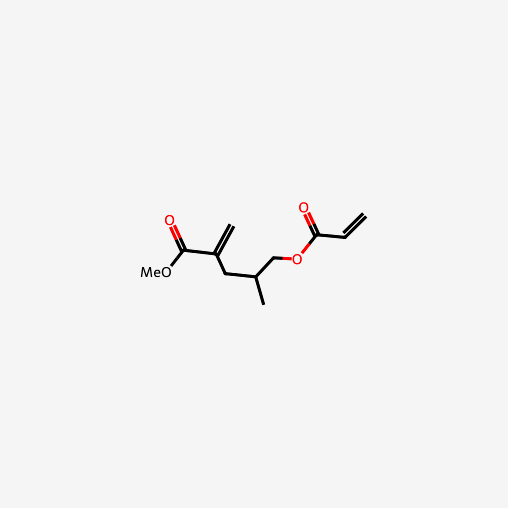 C=CC(=O)OCC(C)CC(=C)C(=O)OC